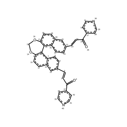 O=C(/C=C/c1ccc2c3c(ccc2c1)OCOc1ccc2cc(/C=C/C(=O)c4ccncc4)ccc2c1-3)c1ccncc1